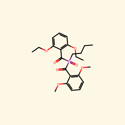 CCCCP(=O)(C(=O)c1c(OC)cccc1OC)C(=O)c1c(OCC)cccc1OCC